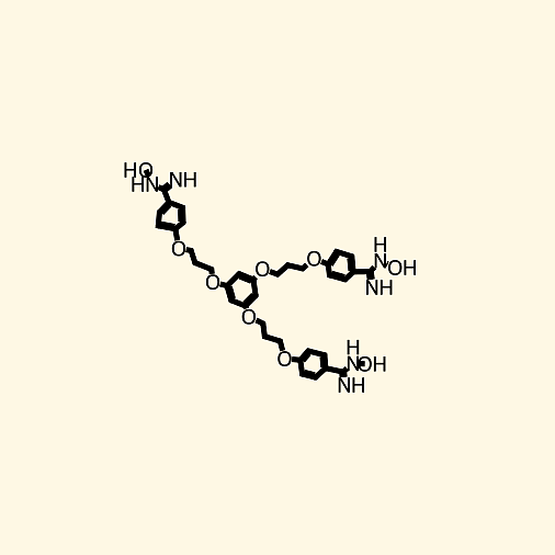 N=C(NO)c1ccc(OCCCOc2cc(OCCCOc3ccc(C(=N)NO)cc3)cc(OCCCOc3ccc(C(=N)NO)cc3)c2)cc1